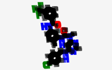 Cc1ccc(NC(=O)c2cccc(C(F)(F)F)c2)cc1NC(=O)N(C)c1cc(NCc2ccc(Cl)cc2)ncn1